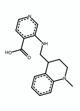 CN1CCC(CNc2cnccc2C(=O)O)c2ccccc21